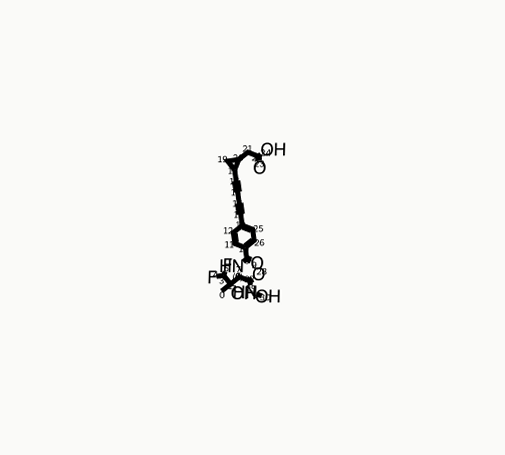 CC(O)(C(F)F)[C@H](NC(=O)c1ccc(C#CC#CC2CC2CC(=O)O)cc1)C(=O)NO